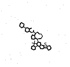 C=C(/C=c1/ccc(-c2ccccc2)cc1=C)C1=c2\cccc\c2=C(c2cc3c(ccc4c5ccccc5sc34)c3c2C(C)(C)c2ccccc2-3)\C=C\CC\C=C\1